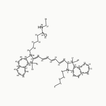 CCCCCN1c2ccc3ccccc3c2C(C)(C)C1/C=C/C=C/C=C/C=C1/N(CCCCCC(=O)NCC)c2ccc3ccccc3c2C1(C)C